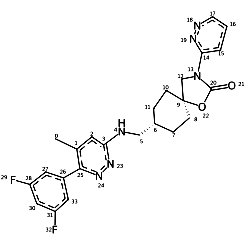 Cc1cc(NC[C@H]2CC[C@]3(CC2)CN(c2cccnn2)C(=O)O3)nnc1-c1cc(F)cc(F)c1